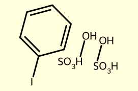 Ic1ccccc1.O=S(=O)(O)O.O=S(=O)(O)O